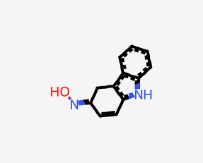 ON=C1C=Cc2[nH]c3ccccc3c2C1